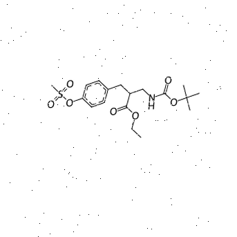 CCOC(=O)C(CNC(=O)OC(C)(C)C)Cc1ccc(OS(C)(=O)=O)cc1